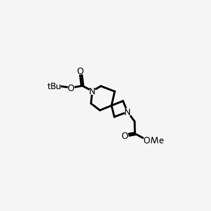 COC(=O)CN1CC2(CCN(C(=O)OC(C)(C)C)CC2)C1